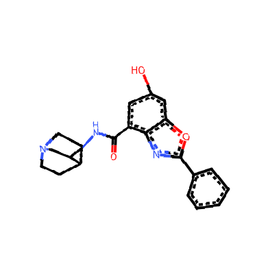 O=C(NC1CN2CCC1CC2)c1cc(O)cc2oc(-c3ccccc3)nc12